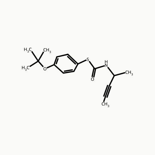 CC#CC(C)NC(=O)Sc1ccc(OC(C)(C)C)cc1